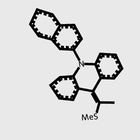 CSC(C)=C1c2ccccc2N(c2ccc3ccccc3c2)c2ccccc21